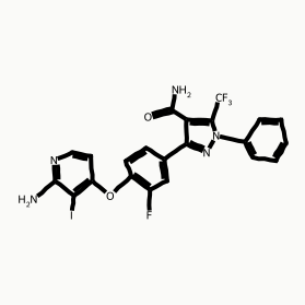 NC(=O)c1c(-c2ccc(Oc3ccnc(N)c3I)c(F)c2)nn(-c2ccccc2)c1C(F)(F)F